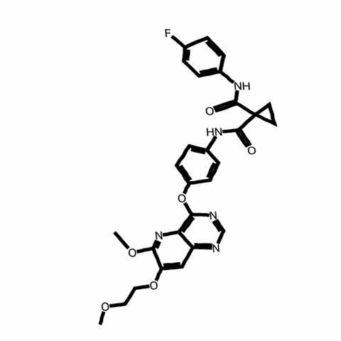 COCCOc1cc2ncnc(Oc3ccc(NC(=O)C4(C(=O)Nc5ccc(F)cc5)CC4)cc3)c2nc1OC